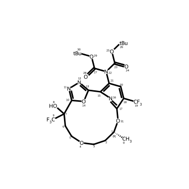 C[C@@H]1CCOCCC(O)(C(F)(F)F)c2nnc(o2)-c2nc(c(C(F)(F)F)cc2N(C(=O)OC(C)(C)C)C(=O)OC(C)(C)C)O1